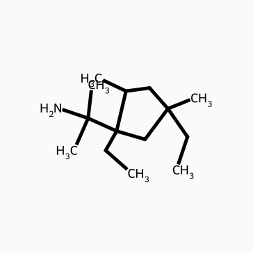 CCC1(C)CC(C)C(CC)(C(C)(C)N)C1